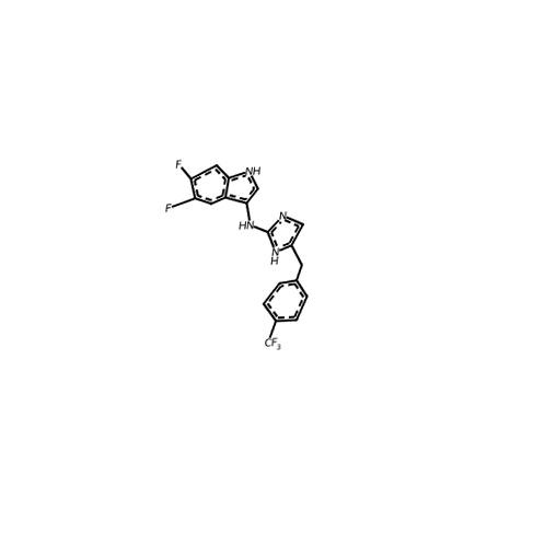 Fc1cc2[nH]cc(Nc3ncc(Cc4ccc(C(F)(F)F)cc4)[nH]3)c2cc1F